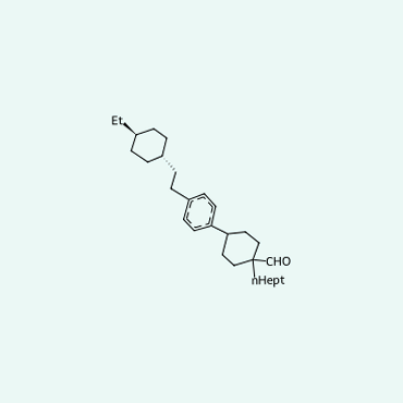 CCCCCCCC1(C=O)CCC(c2ccc(CC[C@H]3CC[C@H](CC)CC3)cc2)CC1